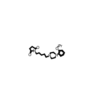 CC(C)Oc1ccccc1N1CCN(CCCCCN2C(=O)CCC2=O)CC1